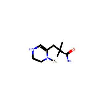 CC(=O)N1CCNC=C1CC(C)(C)C(N)=O